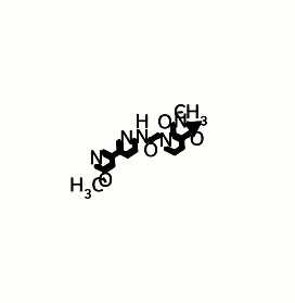 COc1cncc(-c2ccc(NC(=O)CN3CCCC(C=O)=C3C(=O)N(C)C3CC3)nc2)c1